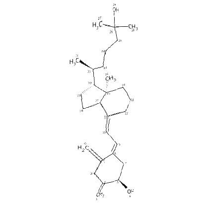 C=C1CC(=C)[C@H](O)C/C1=C/C=C1CCC[C@@]2(C)C1CC[C@@H]2[C@@H](C)CCCC(C)(C)O